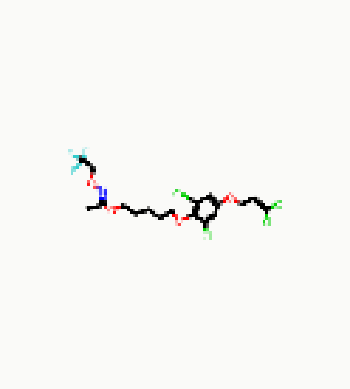 CC(=NOCC(F)(F)F)OCCCCCOc1c(Cl)cc(OCC=C(Cl)Cl)cc1Cl